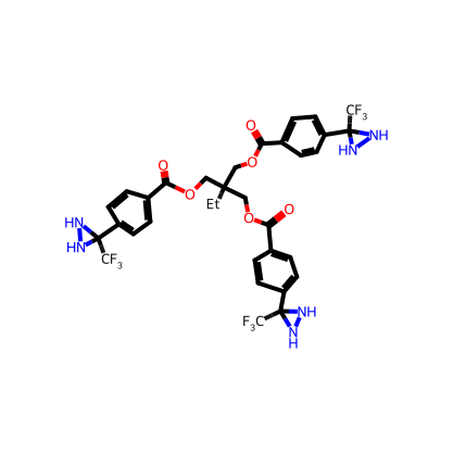 CCC(COC(=O)c1ccc(C2(C(F)(F)F)NN2)cc1)(COC(=O)c1ccc(C2(C(F)(F)F)NN2)cc1)COC(=O)c1ccc(C2(C(F)(F)F)NN2)cc1